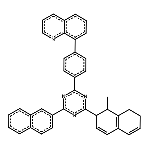 CC1C2=C(C=CCC2)C=CC1c1nc(-c2ccc(-c3cccc4cccnc34)cc2)nc(-c2ccc3ccccc3c2)n1